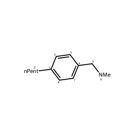 CCCCCc1ccc(CNC)cc1